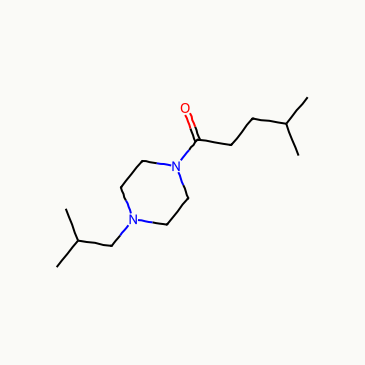 CC(C)CCC(=O)N1CCN(CC(C)C)CC1